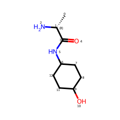 C[C@@H](N)C(=O)NC1CCC(O)CC1